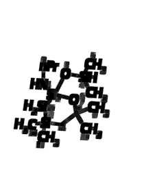 CCCN[Si]1(O[SiH](C)C)OC(C)(C)C[Si](C)(C)[SiH2]1